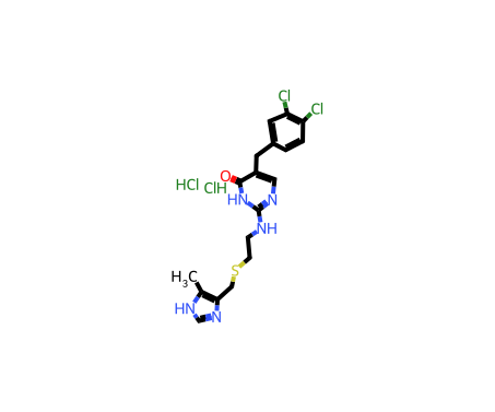 Cc1[nH]cnc1CSCCNc1ncc(Cc2ccc(Cl)c(Cl)c2)c(=O)[nH]1.Cl.Cl